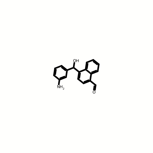 Nc1cccc(C(O)c2ccc(C=O)c3ccccc23)c1